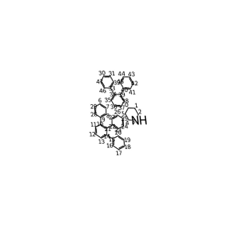 C1CCNCC1.c1ccc(-c2cccc(-c3ccccc3)c2-c2ccccc2)cc1.c1ccc(-c2ccccc2-c2ccccc2)cc1